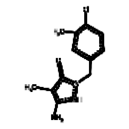 Cc1c(N)[nH]n(Cc2ccc(Cl)c(C(F)(F)F)c2)c1=O